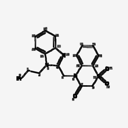 CC(C)CCn1c(CN2C(=O)CS(=O)(=O)c3ccccc32)nc2ccccc21